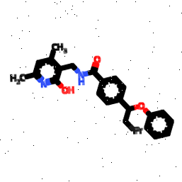 Cc1cc(C)c(CNC(=O)c2ccc(C(CC(C)C)Oc3ccccc3)cc2)c(O)n1